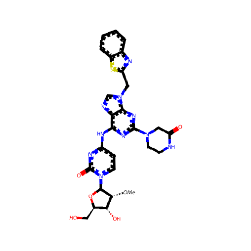 CO[C@H]1C(n2ccc(Nc3nc(N4CCNC(=O)C4)nc4c3ncn4Cc3nc4ccccc4s3)nc2=O)O[C@H](CO)[C@H]1O